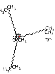 CC(C)CCCCCCCCCCCCCCC(=O)C([O-])C(C)(C(=O)CCCCCCCCCCCCCCC(C)C)C(=O)CCCCCCCCCCCCCCC(C)C.[Ti+]